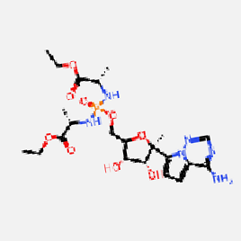 CCOC(=O)[C@H](C)NP(=O)(N[C@@H](C)C(=O)OCC)OCC1O[C@@](C)(c2ccc3c(N)ncnn23)[C@H](O)[C@@H]1O